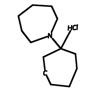 CC1(N2CCCCCC2)CCCCCC1.Cl